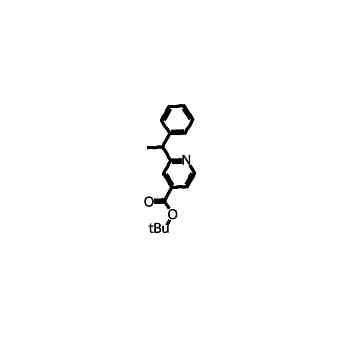 CC(c1ccccc1)c1cc(C(=O)OC(C)(C)C)ccn1